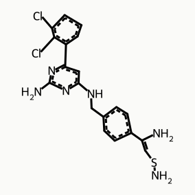 NS/C=C(\N)c1ccc(CNc2cc(-c3cccc(Cl)c3Cl)nc(N)n2)cc1